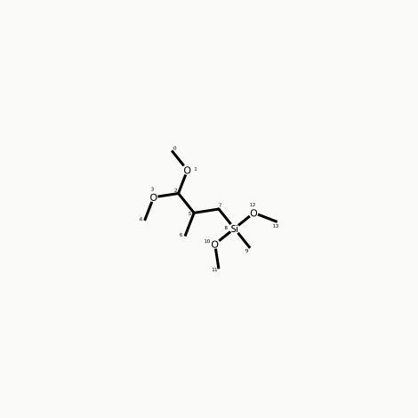 COC(OC)C(C)C[Si](C)(OC)OC